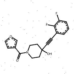 O=C(c1ccoc1)N1CCC(O)(C#Cc2cccc(F)c2F)CC1